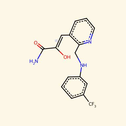 NC(=O)/C(O)=C/c1cccnc1CNc1cccc(C(F)(F)F)c1